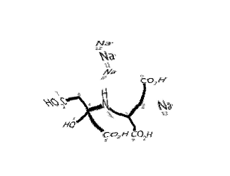 O=C(O)CC(NC(O)(CC(=O)O)C(=O)O)C(=O)O.[Na].[Na].[Na].[Na]